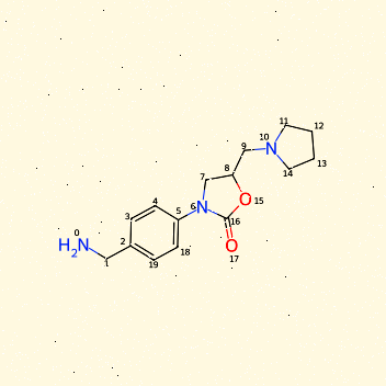 NCc1ccc(N2CC(CN3CCCC3)OC2=O)cc1